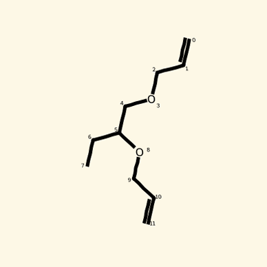 C=CCOCC(CC)OCC=C